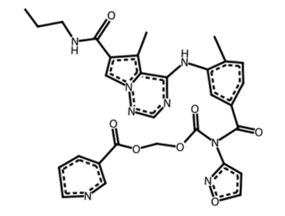 CCCNC(=O)c1cn2ncnc(Nc3cc(C(=O)N(C(=O)OCOC(=O)c4cccnc4)c4ccon4)ccc3C)c2c1C